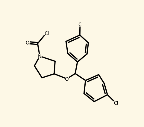 O=C(Cl)N1CCC(OC(c2ccc(Cl)cc2)c2ccc(Cl)cc2)C1